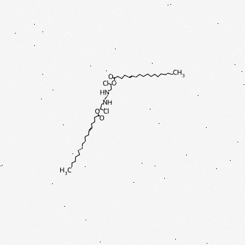 CCCCCCCCCCCCC=CCCCC(=O)OC(Cl)CNCCNCC(Cl)OC(=O)CCCC=CCCCCCCCCCCCC